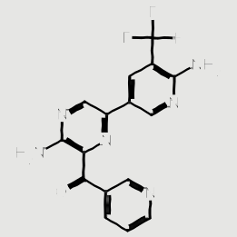 Nc1ncc(-c2cnc(N)c(C(=O)c3cccnc3)n2)cc1C(F)(F)F